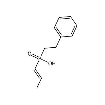 CC=CP(=O)(O)CCc1ccccc1